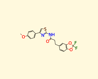 COc1ccc(-c2csc(NC(=O)CCc3ccc4c(c3)OC(F)(F)O4)n2)cc1